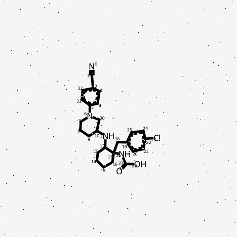 N#Cc1ccc(N2CCCC(NC3CCCCC3(Cc3ccc(Cl)cc3)NC(=O)O)C2)cc1